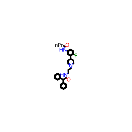 CCCC(=O)Nc1ccc(F)c(C2CCN(CCCNC(=O)C(c3ccccc3)c3ccccc3)CC2)c1